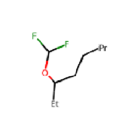 CCC(CCC(C)C)OC(F)F